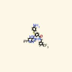 CC(C)c1ccc2c(Nc3cc(C(=O)NCc4cccc(C(F)(F)F)c4)ccc3Sc3ccc(N)cc3)ncnc2n1